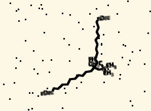 CCCCCCCCCCCCCCCCCCCCC(CCCCCCCCCCCCCCCCCCCC)(C[N+](C)(C)C)O[PH-]